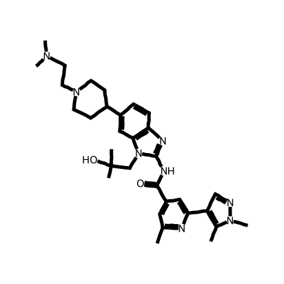 Cc1cc(C(=O)Nc2nc3ccc(C4CCN(CCN(C)C)CC4)cc3n2CC(C)(C)O)cc(-c2cnn(C)c2C)n1